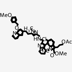 COC(=O)c1c(CCCOC(C)=O)c2ccc(Cl)c(-c3c(CNCc4cc(CCc5cc(OCc6ccc(OC)cc6)c6ncccc6c5)n(C)n4)nn4c3CCCC4)c2n1C